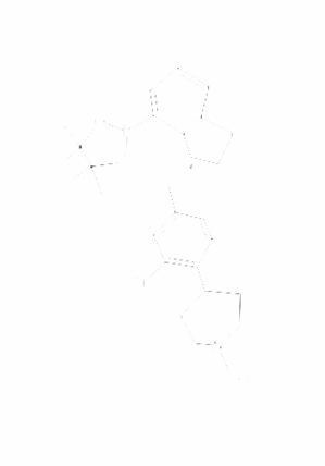 CCc1cc(C[C@H]2CCc3cccc(B4OC(C)(C)C(C)(C)O4)c32)ccc1C1CCN(C(=O)O)CC1